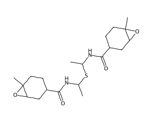 CC(NC(=O)C1CCC2(C)OC2C1)SC(C)NC(=O)C1CCC2(C)OC2C1